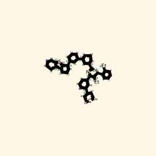 CCc1ccccc1-c1nc(-c2cccc(-c3cccc(-c4cccc5c4sc4ccccc45)c3)c2)nc(-c2cccc(-c3ccccc3)c2)c1CC